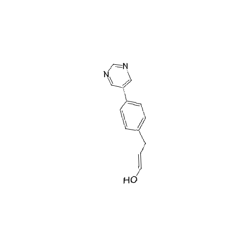 O/C=C/Cc1ccc(-c2cncnc2)cc1